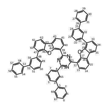 c1ccc(-c2cccc(-c3nc(-c4cccc5c4oc4c(-c6cccc(-c7ccccc7)c6)cccc45)nc(-c4cccc5c4oc4c(-c6cccc(-c7ccccc7)c6)cccc45)n3)c2)cc1